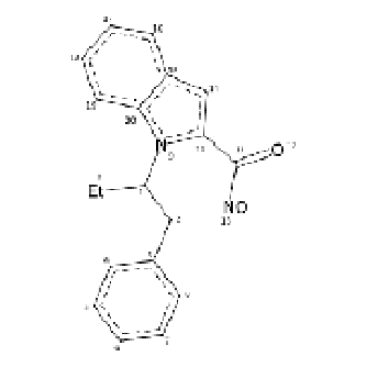 CCC(Cc1ccccc1)n1c(C(=O)N=O)cc2ccccc21